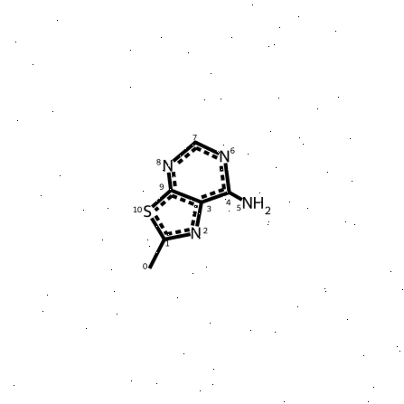 Cc1nc2c(N)ncnc2s1